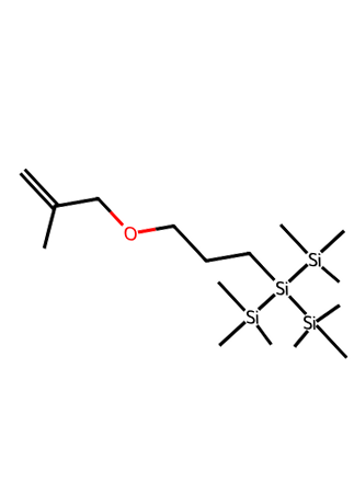 C=C(C)COCCC[Si]([Si](C)(C)C)([Si](C)(C)C)[Si](C)(C)C